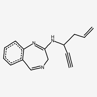 C#CC(CC=C)NC1=Nc2ccccc2C=NC1